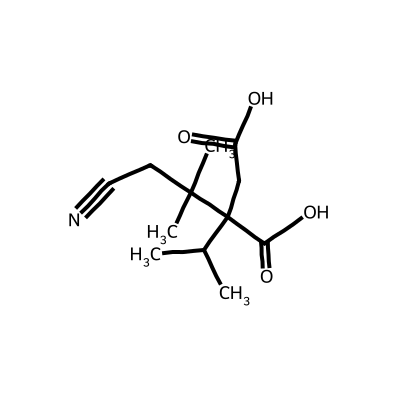 CC(C)C(CC(=O)O)(C(=O)O)C(C)(C)CC#N